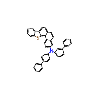 c1ccc(-c2ccc(N(c3cccc(-c4ccccc4)c3)c3ccc4c(ccc5ccc6c7ccccc7sc6c54)c3)cc2)cc1